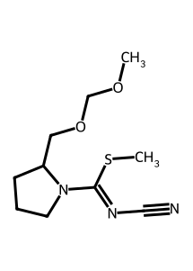 COCOCC1CCCN1C(=NC#N)SC